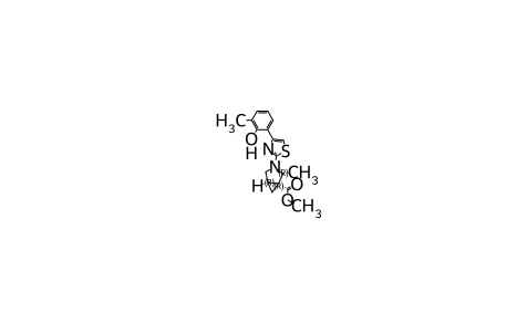 COC(=O)[C@]12C[C@H]1CN(c1nc(-c3cccc(C)c3O)cs1)[C@@H]2C